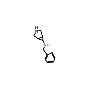 c1ccc(CNC2C3CNCC32)cc1